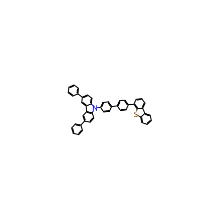 c1ccc(-c2ccc3c(c2)c2cc(-c4ccccc4)ccc2n3-c2ccc(-c3ccc(-c4cccc5c4sc4ccccc45)cc3)cc2)cc1